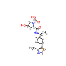 Cc1ncsc1-c1ccc([C@H](C)NC(=O)C2CC(O)CN2C(=O)O)cc1